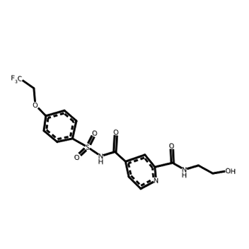 O=C(NS(=O)(=O)c1ccc(OCC(F)(F)F)cc1)c1ccnc(C(=O)NCCO)c1